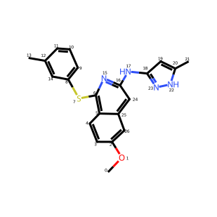 COc1ccc2c(Sc3cccc(C)c3)nc(Nc3cc(C)[nH]n3)cc2c1